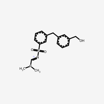 CN(C)/C=N/S(=O)(=O)c1cccc(Cc2cccc(CO)c2)c1